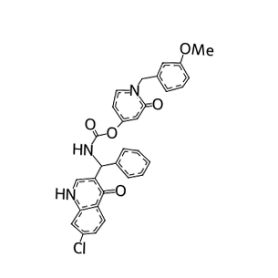 COc1cccc(Cn2ccc(OC(=O)NC(c3ccccc3)c3c[nH]c4cc(Cl)ccc4c3=O)cc2=O)c1